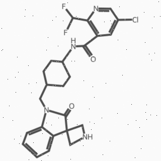 O=C(NC1CCC(CN2C(=O)C3(CNC3)c3ccccc32)CC1)c1cc(Cl)cnc1C(F)F